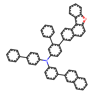 c1ccc(-c2ccc(N(c3cccc(-c4ccc5ccccc5c4)c3)c3ccc(-c4ccc5c(ccc6oc7ccccc7c65)c4)c(-c4ccccc4)c3)cc2)cc1